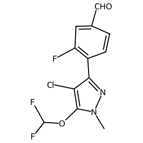 Cn1nc(-c2ccc(C=O)cc2F)c(Cl)c1OC(F)F